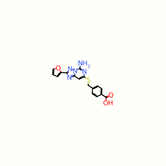 Nc1nc(SCc2ccc(C(=O)O)cc2)cc2nc(-c3ccco3)nn12